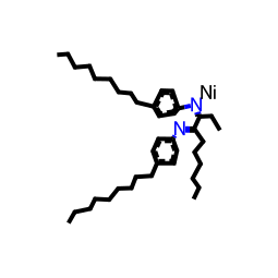 CCCCCCCCCc1ccc(N=C(CC)C(CCCCCC)=Nc2ccc(CCCCCCCCC)cc2)cc1.[Ni]